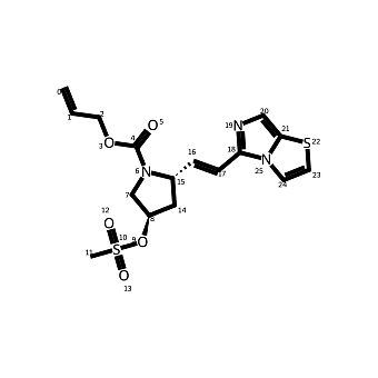 C=CCOC(=O)N1C[C@H](OS(C)(=O)=O)C[C@H]1C=Cc1ncc2sccn12